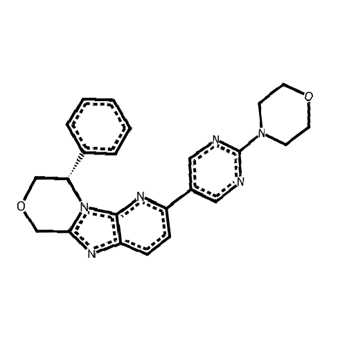 c1ccc([C@H]2COCc3nc4ccc(-c5cnc(N6CCOCC6)nc5)nc4n32)cc1